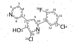 Oc1c(-c2cccnc2)cc(-c2cc(Cl)ccc2F)nc1Cl